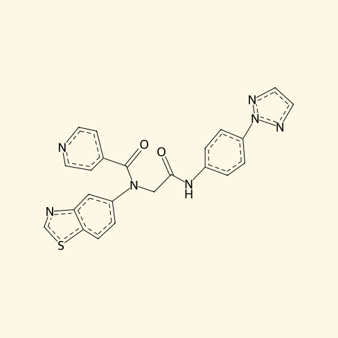 O=C(CN(C(=O)c1ccncc1)c1ccc2scnc2c1)Nc1ccc(-n2nccn2)cc1